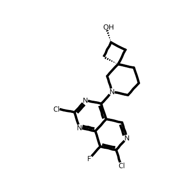 O[C@H]1C[C@@]2(CCCN(c3nc(Cl)nc4c(F)c(Cl)ncc34)C2)C1